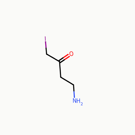 NCCC(=O)CI